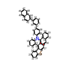 c1cc(-c2ccc(N(c3ccccc3-c3cccc4sc5ccccc5c34)c3cccc4ccccc34)cc2)cc(-c2ccc3ccccc3c2)c1